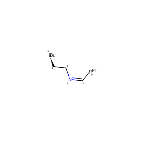 CCC/C=N\CC[C@H](C)CC